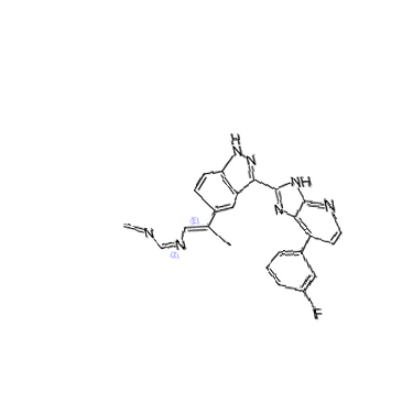 C=N/C=N\C=C(/C)c1ccc2[nH]nc(-c3nc4c(-c5cccc(F)c5)ccnc4[nH]3)c2c1